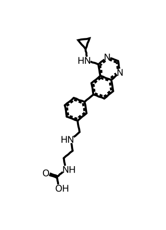 O=C(O)NCCNCc1cccc(-c2ccc3ncnc(NC4CC4)c3c2)c1